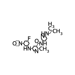 Cc1ncc(Nc2cc(F)cc(N3CCOCC3)c2)cc1C(=O)Nc1ccc(NCC(C)C)nc1